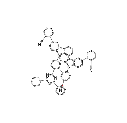 N#Cc1ccc(-n2c3ccccc3c3cc(-c4ccccc4C#N)ccc32)c(-c2cc(-n3c4ccccc4c4cc(-c5ccccc5C#N)ccc43)ccc2-c2nc(-c3ccccc3)nc(-c3ccccc3)n2)c1